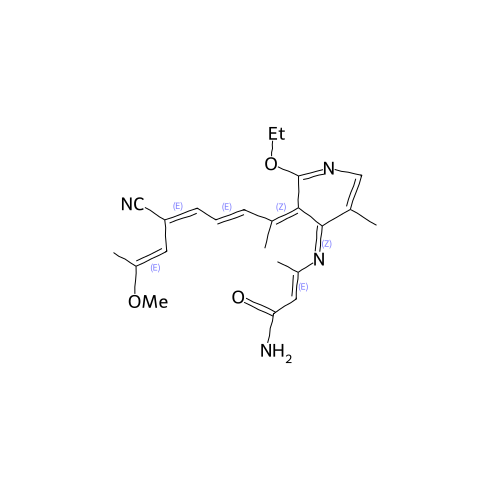 CCOC1=NC=C(C)C(=N/C(C)=C/C(N)=O)/C1=C(C)/C=C/C=C(C#N)\C=C(/C)OC